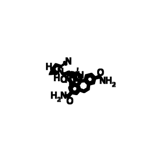 C[C@H](CC1(c2nnn[nH]2)c2ccc(C(N)=O)cc2CCc2cc(C(N)=O)ccc21)NCC(=O)N1[C@H](C#N)C[C@@H]2C[C@@H]21